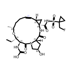 CC[C@@H]1O[C@H](C)CC/C=C\[C@@H]2C[C@@]2(C(=O)NS(=O)(=O)C2(CF)CC2)NC(=O)[C@@H]2C[C@@H](O)CN2C(=O)[C@H]1NC(=O)O